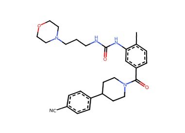 Cc1ccc(C(=O)N2CCC(c3ccc(C#N)cc3)CC2)cc1NC(=O)NCCCN1CCOCC1